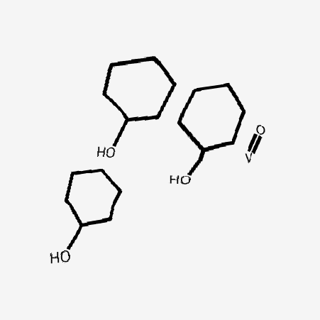 OC1CCCCC1.OC1CCCCC1.OC1CCCCC1.[O]=[V]